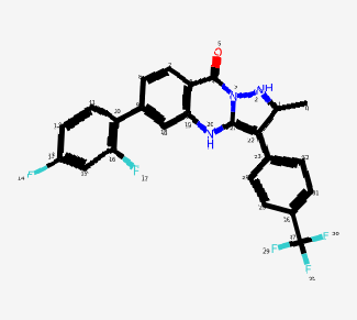 CC1NN2C(=O)c3ccc(-c4ccc(F)cc4F)cc3NC2=C1c1ccc(C(F)(F)F)cc1